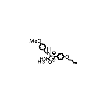 C=CCCOc1ccc(S(=O)(=O)C(NCc2ccc(OC)cc2)C(=O)NO)cc1